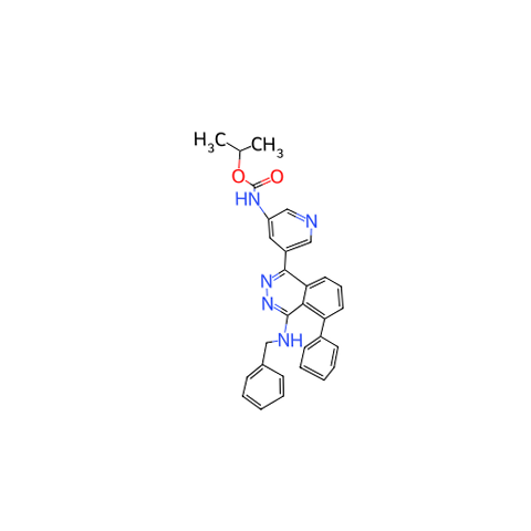 CC(C)OC(=O)Nc1cncc(-c2nnc(NCc3ccccc3)c3c(-c4ccccc4)cccc23)c1